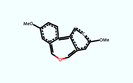 COc1ccc2c(c1)=COC=c1cc(OC)ccc1=2